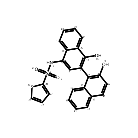 O=S(=O)(Nc1cc(-c2c(O)ccc3ccccc23)c(O)c2ccccc12)c1cccs1